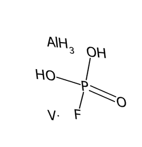 O=P(O)(O)F.[AlH3].[V]